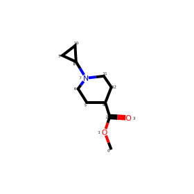 COC(=O)C1CCN(C2CC2)CC1